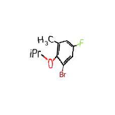 Cc1cc(F)cc(Br)c1OC(C)C